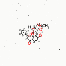 CC(=O)O[C@@H]1C(C)(C)OC(=O)[C@@]12COc1ccc3c(=O)cc(-c4ccccc4)oc3c12